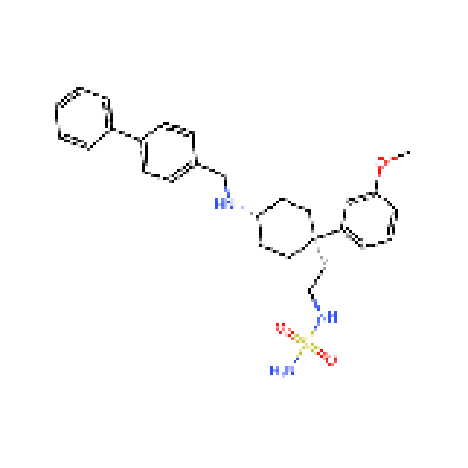 COc1cccc([C@]2(CCNS(N)(=O)=O)CC[C@@H](NCc3ccc(-c4ccccc4)cc3)CC2)c1